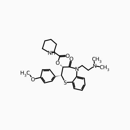 COc1ccc([C@H]2Sc3ccccc3N(CCN(C)C)C(=O)[C@H]2OC(=O)C2CCCCN2)cc1